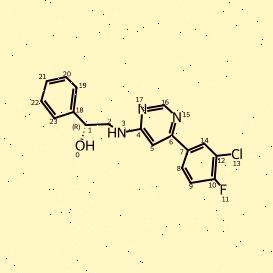 O[C@@H](CNc1cc(-c2ccc(F)c(Cl)c2)ncn1)c1ccccc1